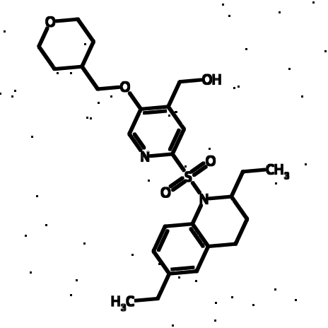 CCc1ccc2c(c1)CCC(CC)N2S(=O)(=O)c1cc(CO)c(OCC2CCOCC2)cn1